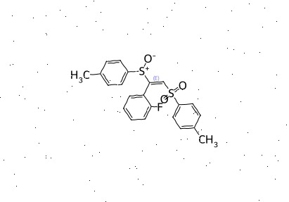 Cc1ccc([S+]([O-])/C(=C/S(=O)(=O)c2ccc(C)cc2)c2ccccc2F)cc1